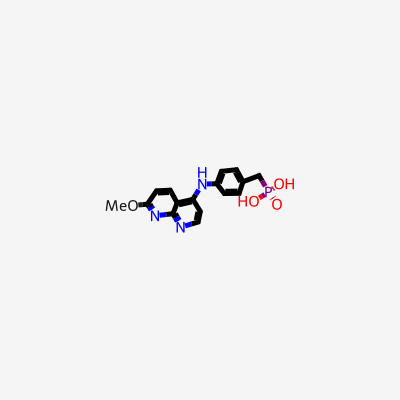 COc1ccc2c(Nc3ccc(CP(=O)(O)O)cc3)ccnc2n1